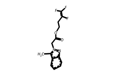 Cc1c2ccccc2nn1CC(=O)OCCC(F)=C(F)F